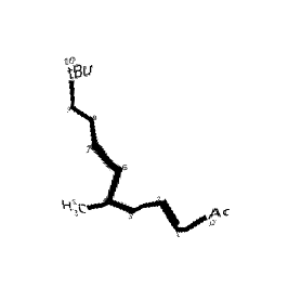 CC(=O)/C=C/CC(C)CCCCC(C)(C)C